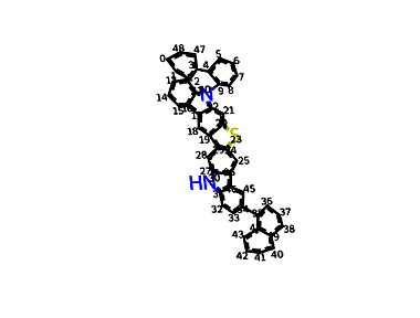 c1ccc(-c2ccccc2-n2c3ccccc3c3cc4c(cc32)sc2cc3c(cc24)[nH]c2ccc(-c4cccc5ccccc45)cc23)cc1